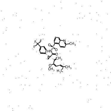 C=C(/C(=C\C=C(C)C)OC)[C@]1(C(=O)NS(=O)(=O)c2cccc3nc(C)ccc23)C[C@@H]1c1ccc(C(F)(F)F)cc1